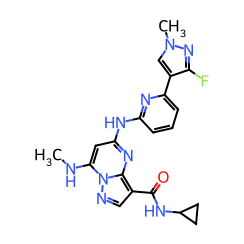 CNc1cc(Nc2cccc(-c3cn(C)nc3F)n2)nc2c(C(=O)NC3CC3)cnn12